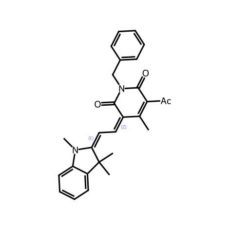 CC(=O)C1=C(C)/C(=C/C=C2/N(C)c3ccccc3C2(C)C)C(=O)N(Cc2ccccc2)C1=O